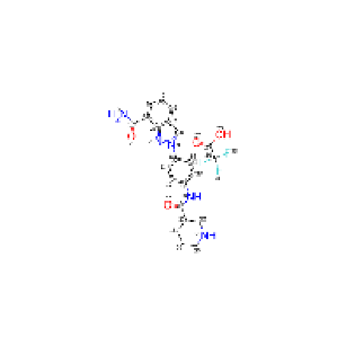 NC(=O)c1cccc2cn(-c3ccc(NC(=O)C4CCCNC4)cc3)nc12.O=C(O)C(F)(F)F